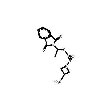 CC(On1on1N1CC(C(=O)O)C1)N1C(=O)c2ccccc2C1=O